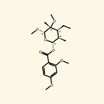 CC[C@H]1[C@@H](C)[C@H](OC(=O)c2ccc(OC)cc2OC)O[C@H](OC)[C@]1(C)OC